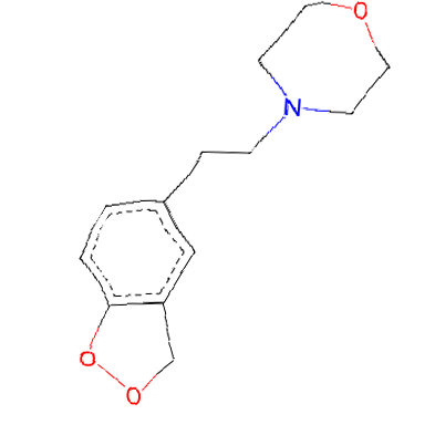 c1cc2c(cc1CCN1CCOCC1)COO2